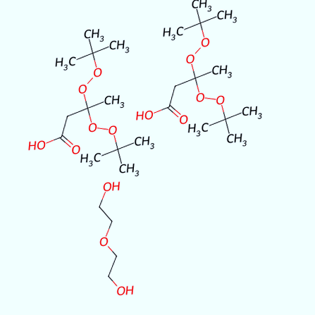 CC(C)(C)OOC(C)(CC(=O)O)OOC(C)(C)C.CC(C)(C)OOC(C)(CC(=O)O)OOC(C)(C)C.OCCOCCO